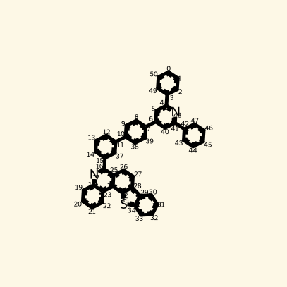 c1ccc(-c2cc(-c3ccc(-c4cccc(-c5nc6ccccc6c6c5ccc5c7ccccc7sc56)c4)cc3)cc(-c3ccccc3)n2)cc1